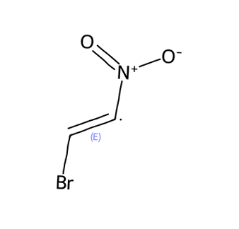 O=[N+]([O-])/[C]=C/Br